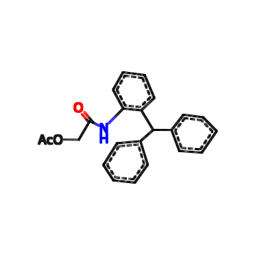 CC(=O)OCC(=O)Nc1ccccc1C(c1ccccc1)c1ccccc1